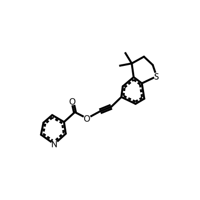 CC1(C)CCSc2ccc(C#COC(=O)c3cccnc3)cc21